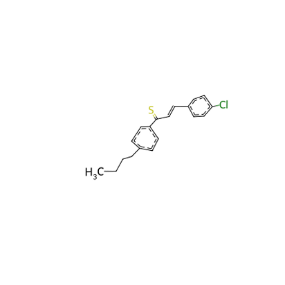 CCCCc1ccc(C(=S)C=Cc2ccc(Cl)cc2)cc1